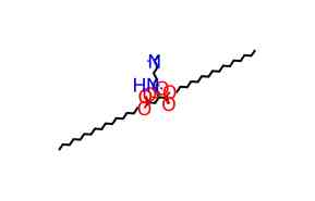 CCCCCCCCCCCCCCCCOC(=O)CC(C(=O)OCCCCCCCCCCCCCCCC)S(=O)(=O)NCCCN(C)C